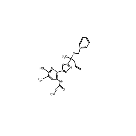 C=CCC(OCc1ccccc1)(c1nnc(-c2nc(O)c(C(F)(F)F)cc2NC(=O)OC(C)(C)C)o1)C(F)(F)F